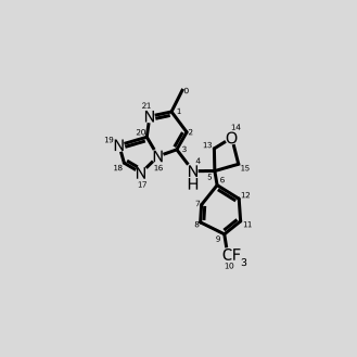 Cc1cc(NC2(c3ccc(C(F)(F)F)cc3)COC2)n2ncnc2n1